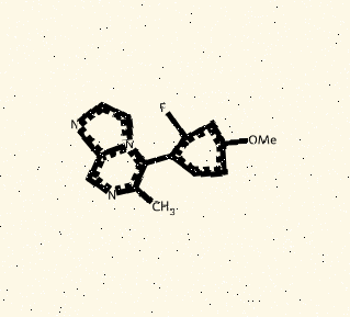 COc1ccc(-c2c(C)ncc3nccn23)c(F)c1